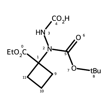 CCOC(=O)C1(N(NC(=O)O)C(=O)OC(C)(C)C)CCC1